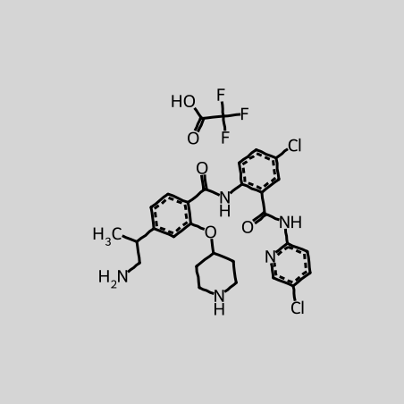 CC(CN)c1ccc(C(=O)Nc2ccc(Cl)cc2C(=O)Nc2ccc(Cl)cn2)c(OC2CCNCC2)c1.O=C(O)C(F)(F)F